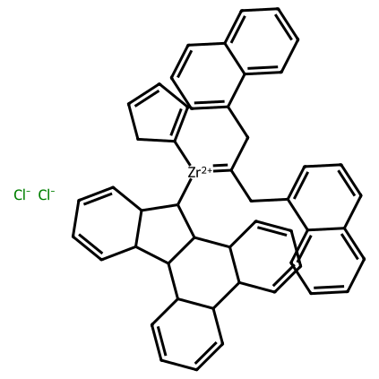 C1=CC[C]([Zr+2](=[C](Cc2cccc3ccccc23)Cc2cccc3ccccc23)[CH]2C3C=CC=CC3C3C4C=CC=CC4C4C=CC=CC4C32)=C1.[Cl-].[Cl-]